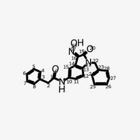 O=C(Cc1ccccc1)Nc1ccc2c(c1)/C(=N/O)C(=O)N2Cc1ccccc1